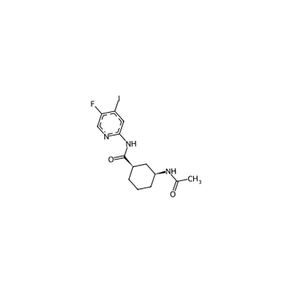 CC(=O)N[C@H]1CCC[C@@H](C(=O)Nc2cc(I)c(F)cn2)C1